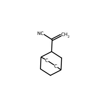 C=C(C#N)C1CC2CCC1CC2